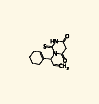 C=CC(C1=CCCCC1)N1C(=O)CC(=O)NC1=S